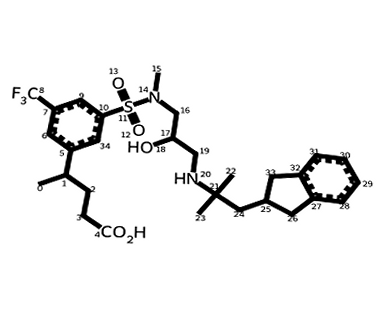 CC(CCC(=O)O)c1cc(C(F)(F)F)cc(S(=O)(=O)N(C)CC(O)CNC(C)(C)CC2Cc3ccccc3C2)c1